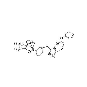 C=C1OB(c2cccc(Cc3nnc4ccc(Oc5ccccc5)nn34)c2)OC1(C)C